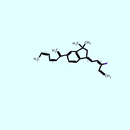 C=C/C(I)=C\C=C1/CC(C)(C)c2cc(C(=C)/C=C\C=C/C)ccc21